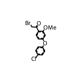 COc1cc(Oc2ccc(Cl)cc2)ccc1C(=O)CBr